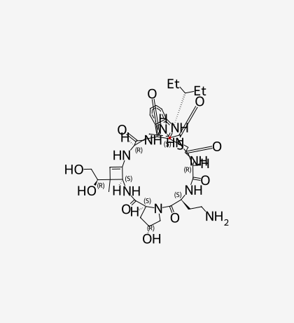 CCC(CC)[C@@H]1NC(=O)CNC(=O)[C@H]2Cc3c([nH]c4ccccc34)SC[C@H](NC(=O)CNC1=O)C(=O)N[C@@H](CCN)C(=O)N1C[C@H](O)C[C@H]1C(=O)N[C@@H]1C(=CC1(C)[C@@H](O)CO)N2